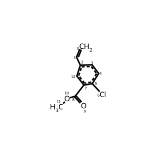 C=Cc1ccc(Cl)c(C(=O)OC)c1